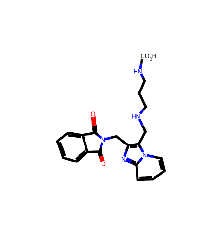 O=C(O)NCCCNCc1c(CN2C(=O)c3ccccc3C2=O)nc2ccccn12